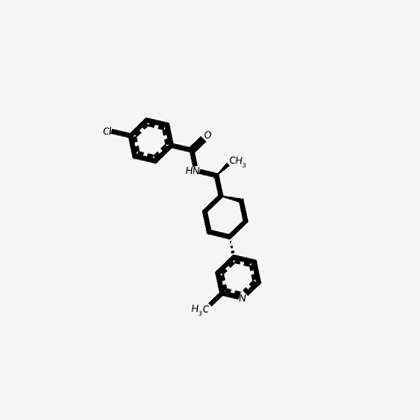 Cc1cc([C@H]2CC[C@H]([C@H](C)NC(=O)c3ccc(Cl)cc3)CC2)ccn1